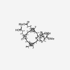 C=Cc1c(C)c2cc3nc(cc4[nH]c(cc5nc(cc1[nH]2)C(C)=C5CCC(=C)O)c(CCC(=O)OC)c4C)[C@@]1(N)C3=CC=C(C(=O)OC)[C@H]1C(=O)OC